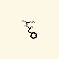 CC(C)[C@@H](C=O)NC(=O)Cc1ccccc1